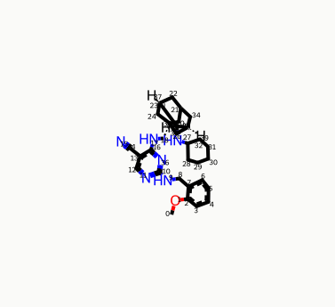 COc1ccccc1CNc1ncc(C#N)c(NC[C@@]23CC4C[C@H](C2)[C@@H](NC2CCCCC2)[C@@H](C4)C3)n1